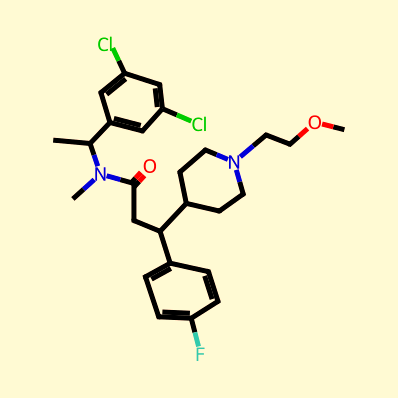 COCCN1CCC(C(CC(=O)N(C)C(C)c2cc(Cl)cc(Cl)c2)c2ccc(F)cc2)CC1